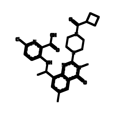 Cc1cc(C(C)Nc2ccc(Cl)nc2C(=O)O)c2nc(N3CCN(C(=O)C4CCC4)CC3)n(C)c(=O)c2c1